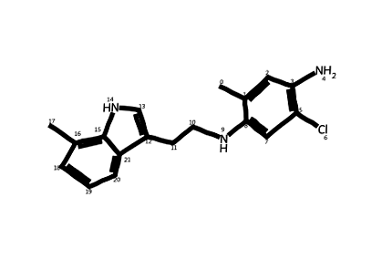 Cc1cc(N)c(Cl)cc1NCCc1c[nH]c2c(C)cccc12